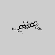 COC(=O)c1cc2nc(-c3cc4ccc([C@@H](C)N)nc4[nH]3)n(C)c2cc1Cl